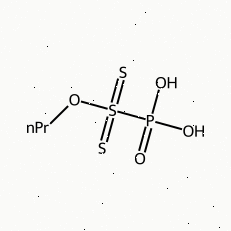 CCCOS(=S)(=S)P(=O)(O)O